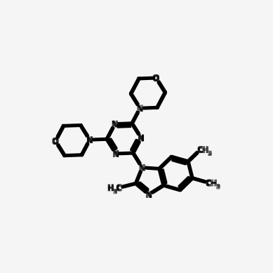 Cc1cc2nc(C)n(-c3nc(N4CCOCC4)nc(N4CCOCC4)n3)c2cc1C